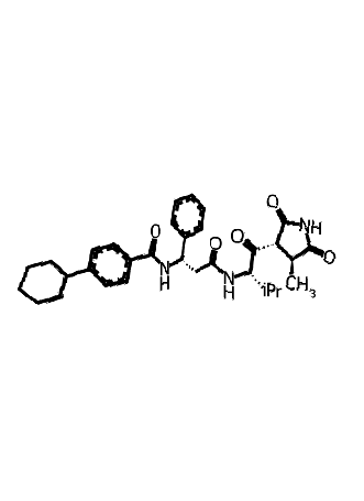 CC(C)[C@H](NC(=O)C[C@H](NC(=O)c1ccc(C2CCCCC2)cc1)c1ccccc1)C(=O)[C@@H]1C(=O)NC(=O)[C@H]1C